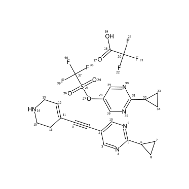 C(#Cc1cnc(C2CC2)nc1)C1=CCNCC1.O=C(O)C(F)(F)F.O=S(=O)(Oc1cnc(C2CC2)nc1)C(F)(F)F